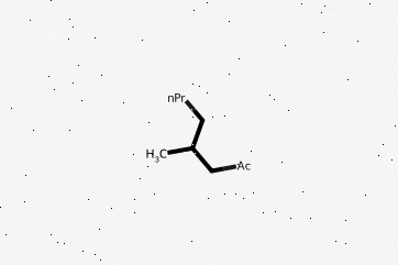 [CH2]C(=O)CC(C)CCCC